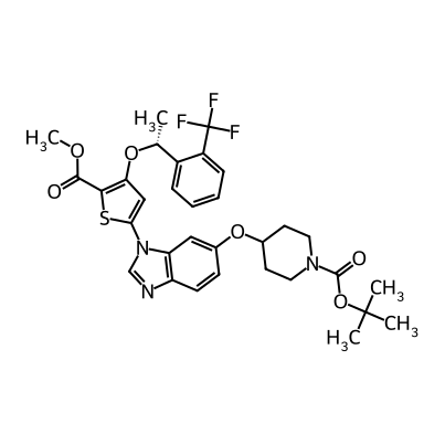 COC(=O)c1sc(-n2cnc3ccc(OC4CCN(C(=O)OC(C)(C)C)CC4)cc32)cc1O[C@H](C)c1ccccc1C(F)(F)F